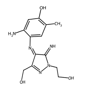 Cc1cc(N=C2C(=N)N(CCO)N=C2CO)c(N)cc1O